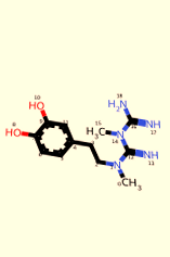 CN(CCc1ccc(O)c(O)c1)C(=N)N(C)C(=N)N